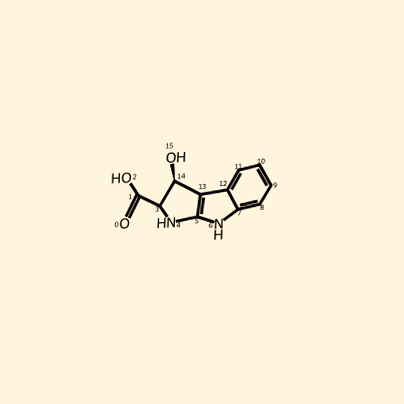 O=C(O)C1Nc2[nH]c3ccccc3c2[C@@H]1O